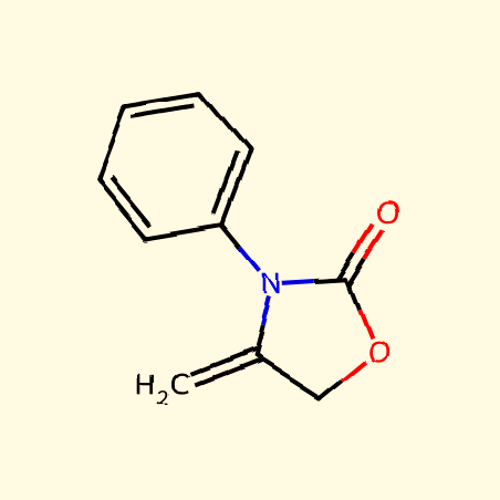 C=C1COC(=O)N1c1ccccc1